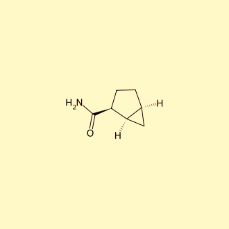 NC(=O)[C@H]1CC[C@H]2C[C@H]21